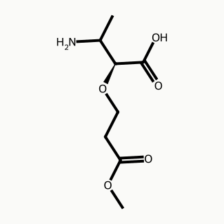 COC(=O)CCO[C@H](C(=O)O)C(C)N